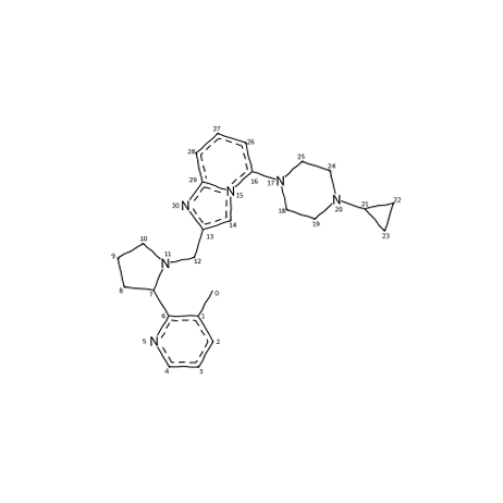 Cc1cccnc1C1CCCN1Cc1cn2c(N3CCN(C4CC4)CC3)cccc2n1